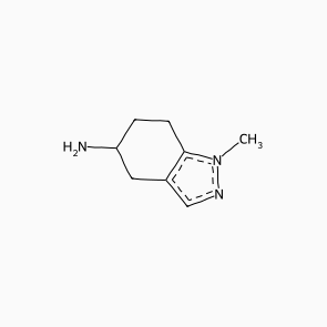 Cn1ncc2c1CCC(N)C2